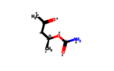 CC(=O)C[C@H](C)OC(N)=O